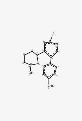 O=Cc1ccc(-c2cnc(Cl)cc2N2CCC[C@H](O)C2)cn1